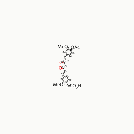 COc1cc(/C=C/C(=O)CC(=O)/C=C/c2ccc(OC(C)=O)c(OC)c2)ccc1CC(=O)O